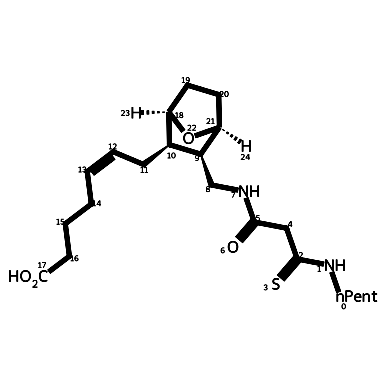 CCCCCNC(=S)CC(=O)NC[C@H]1[C@@H](C/C=C\CCCC(=O)O)[C@H]2CC[C@@H]1O2